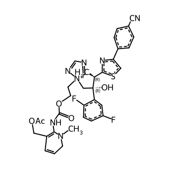 CC(=O)OCC1=C(NC(=O)OCC[N+]2(C[C@](O)(c3cc(F)ccc3F)[C@@H](C)c3nc(-c4ccc(C#N)cc4)cs3)C=NC=N2)N(C)CC=C1